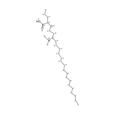 CCCCCCCCCCCCCCCCCC(CCOC(CCC)C(=O)O)N(C)C